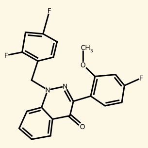 COc1cc(F)ccc1-c1nn(Cc2ccc(F)cc2F)c2ccccc2c1=O